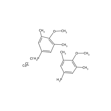 COc1c(C)cc(P)cc1C.COc1c(C)cc(P)cc1C.[Cl-].[Cl-].[Co+2]